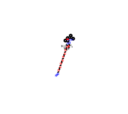 CCOCc1nc2c(NC(c3ccccc3)(c3ccccc3)c3ccccc3)nc3ccccc3c2n1CC(C)(C)OCCOCCOCCOCCOCCOCCOCCOCCN=[N+]=[N-]